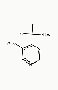 CCCCCCC(C)(CC)c1ccnnc1OC